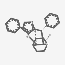 c1ccc(CN[C@@H]2C3CCN(CC3)[C@@H]2[C@@H](c2ccccc2)c2ccco2)cc1